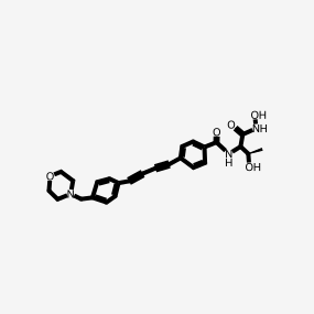 C[C@@H](O)C(NC(=O)c1ccc(C#CC#Cc2ccc(CN3CCOCC3)cc2)cc1)C(=O)NO